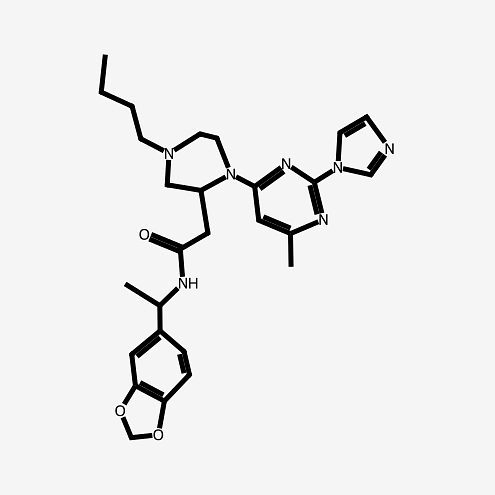 CCCCN1CCN(c2cc(C)nc(-n3ccnc3)n2)C(CC(=O)NC(C)c2ccc3c(c2)OCO3)C1